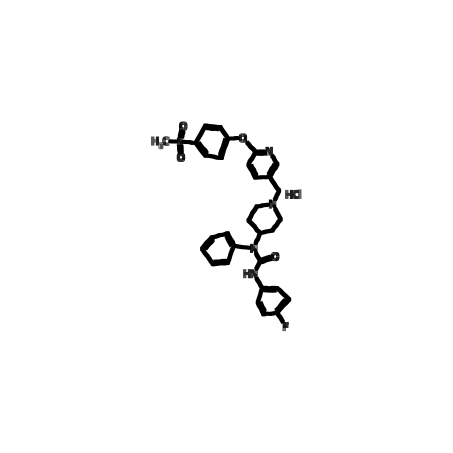 CS(=O)(=O)c1ccc(Oc2ccc(CN3CCC(N(C(=O)Nc4ccc(F)cc4)c4ccccc4)CC3)cn2)cc1.Cl